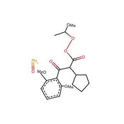 COc1cccc(OC)c1C(=O)C(C(=O)OOC(C)OC)C1CCCC1.O=[PH3]